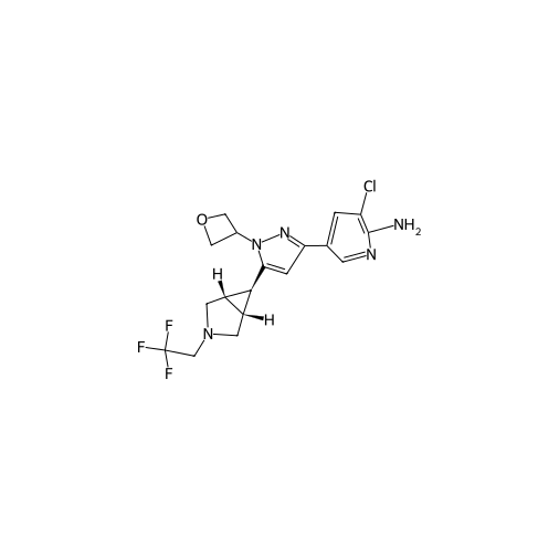 Nc1ncc(-c2cc([C@H]3[C@@H]4CN(CC(F)(F)F)C[C@@H]43)n(C3COC3)n2)cc1Cl